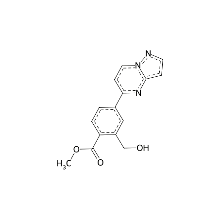 COC(=O)c1ccc(-c2ccn3nccc3n2)cc1CO